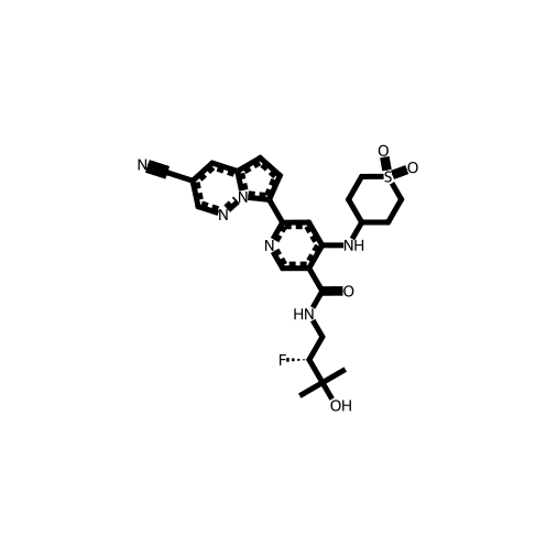 CC(C)(O)[C@H](F)CNC(=O)c1cnc(-c2ccc3cc(C#N)cnn23)cc1NC1CCS(=O)(=O)CC1